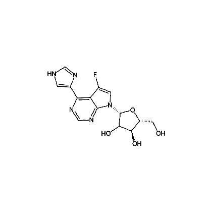 OC[C@H]1O[C@@H](n2cc(F)c3c(-c4c[nH]cn4)ncnc32)C(O)[C@@H]1O